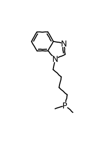 CP(C)CCCCn1cnc2ccccc21